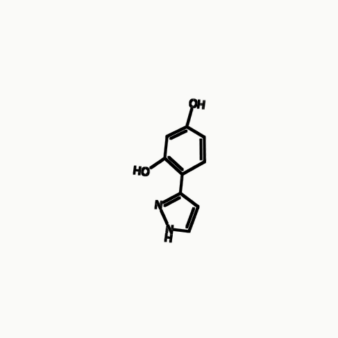 Oc1ccc(-c2cc[nH]n2)c(O)c1